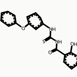 O=C(NC(=S)Nc1cccc(Oc2ccccc2)c1)c1cccnc1O